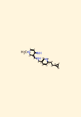 CN1C=CC(=N)/C(=C\NCc2ccc(CCC3CC3)nc2)C1